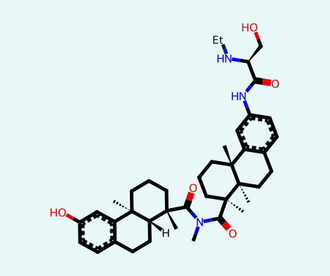 CCN[C@@H](CO)C(=O)Nc1ccc2c(c1)[C@@]1(C)CCC[C@](C)(C(=O)N(C)C(=O)[C@@]3(C)CCC[C@]4(C)c5cc(O)ccc5CC[C@@H]34)[C@]1(C)CC2